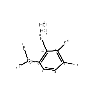 Cl.Cl.Fc1cc[c]([Ga]([F])[F])c(F)c1F